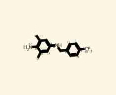 Cc1cc(NCc2ccc(C(F)(F)F)cc2)cc(C)c1N